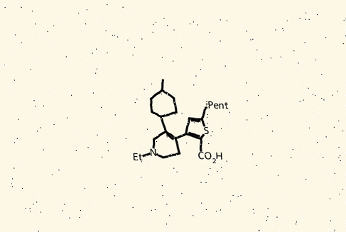 CCCC(C)c1cc(C2=C(C3CCC(C)CC3)CN(CC)CC2)c(C(=O)O)s1